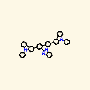 C1=CCC(n2c3ccccc3c3cc(-c4ccc5c6ccc(-c7ccc8c(c7)c7ccccc7n8-c7ccccc7)cc6c6nc7ccccc7n6c5c4)ccc32)C=C1